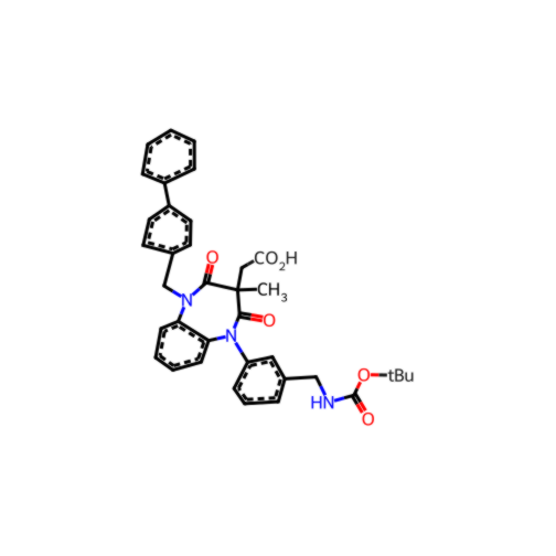 CC(C)(C)OC(=O)NCc1cccc(N2C(=O)C(C)(CC(=O)O)C(=O)N(Cc3ccc(-c4ccccc4)cc3)c3ccccc32)c1